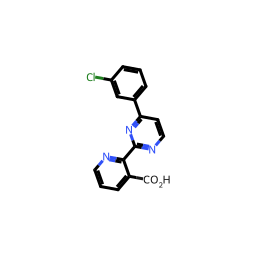 O=C(O)c1cccnc1-c1nccc(-c2cccc(Cl)c2)n1